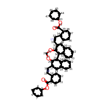 O=C(Oc1ccccc1)c1ccccc1/C=C\c1cc2ccccc2c2c1OCOc1c(/C=C\c3ccccc3C(=O)Oc3ccccc3)cc3ccccc3c1-2